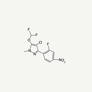 Cn1nc(-c2ccc([N+](=O)[O-])cc2F)c(Cl)c1OC(F)F